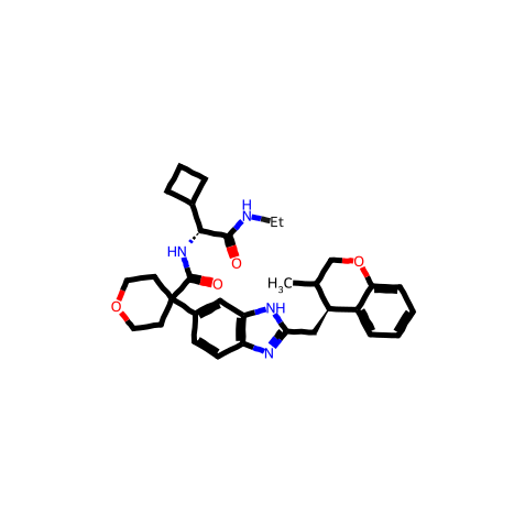 CCNC(=O)[C@H](NC(=O)C1(c2ccc3nc(C[C@@H]4c5ccccc5OCC4C)[nH]c3c2)CCOCC1)C1CCC1